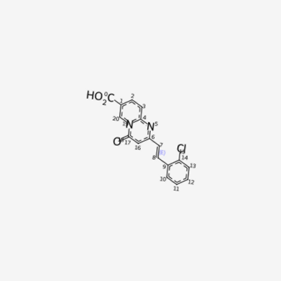 O=C(O)c1ccc2nc(/C=C/c3ccccc3Cl)cc(=O)n2c1